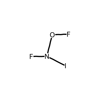 FON(F)I